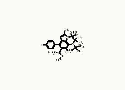 BC(B)(B)N1c2c(C)c([C@H](OC(C)(C)C)C(=O)O)c(-c3ccc(F)cc3)c3cc(C)n(c23)C(B)(B)C1(B)B